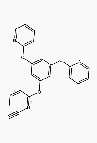 C#C/N=C(\C=C/C)Oc1cc(Oc2ccccn2)cc(Oc2ccccn2)c1